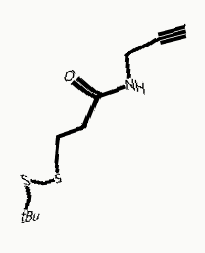 C#CCNC(=O)CCSSC(C)(C)C